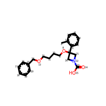 Cc1ccccc1C1(OCCCCOCc2ccccc2)CN(C(=O)O)C1